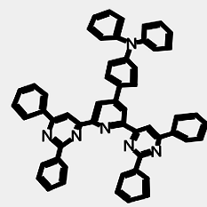 c1ccc(-c2cc(-c3cc(-c4ccc(N(c5ccccc5)c5ccccc5)cc4)cc(-c4cc(-c5ccccc5)nc(-c5ccccc5)n4)n3)nc(-c3ccccc3)n2)cc1